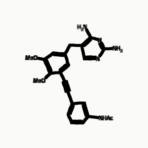 COc1cc(Cc2cnc(N)nc2N)cc(C#Cc2cccc(NC(C)=O)c2)c1OC